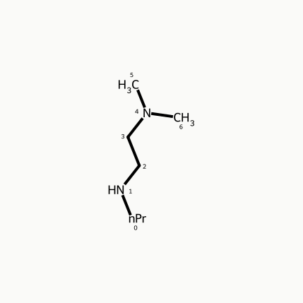 [CH2]CCNCCN(C)C